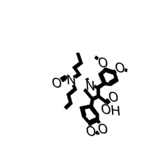 CCCCN(C=O)CCCC.COc1ccc(C2C(C(=O)O)C(c3ccc4c(c3)OCO4)CN2C)cc1OC